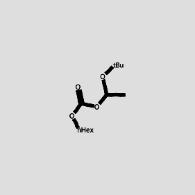 CCCCCCOC(=O)OC(C)OC(C)(C)C